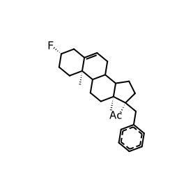 CC(=O)[C@@]1(Cc2ccccc2)CCC2C3CC=C4C[C@@H](F)CC[C@]4(C)C3CC[C@@]21C